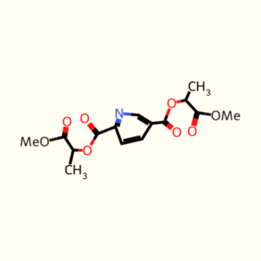 COC(=O)C(C)OC(=O)c1ccc(C(=O)OC(C)C(=O)OC)nc1